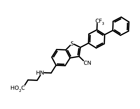 N#Cc1c(-c2ccc(-c3ccccc3)c(C(F)(F)F)c2)sc2ccc(CNCCC(=O)O)cc12